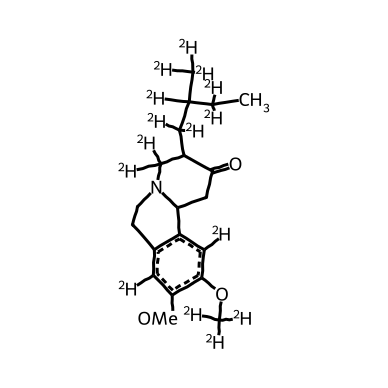 [2H]c1c2c(c([2H])c(OC([2H])([2H])[2H])c1OC)C1CC(=O)C(C([2H])([2H])C([2H])(C([2H])([2H])[2H])C([2H])([2H])C)C([2H])([2H])N1CC2